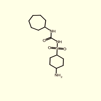 NC1CCC(S(=O)(=O)NC(=O)NC2CCCCCC2)CC1